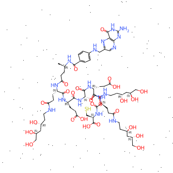 C[C@H](CCC(=O)N[C@@H](CCC(=O)NCC[C@@H](O)C[C@H](O)CO)C(=O)N[C@H](CCC(=O)O)C(=O)N[C@@H](CCC(=O)NCC[C@@H](O)C[C@H](O)CO)C(=O)N[C@H](CCC(=O)O)C(=O)N[C@@H](CCC(=O)NCC[C@@H](O)C[C@H](O)CO)C(=O)N[C@H](CS)C(=O)O)NC(=O)c1ccc(NCc2cnc3nc(N)[nH]c(=O)c3n2)cc1